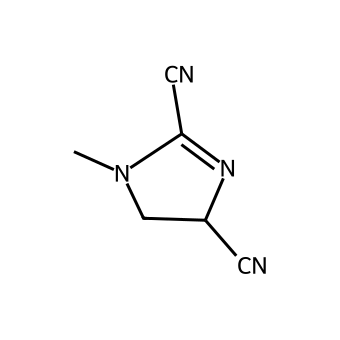 CN1CC(C#N)N=C1C#N